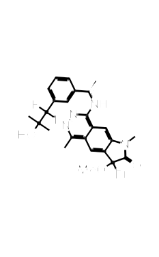 CCC1(OC)C(=O)N(C)c2cc3c(N[C@H](C)c4cccc(C(F)(F)C(C)(C)O)c4)nnc(C)c3cc21